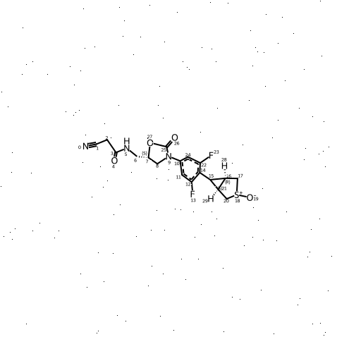 N#CCC(=O)NC[C@H]1CN(c2cc(F)c(C3[C@H]4C[S+]([O-])C[C@@H]34)c(F)c2)C(=O)O1